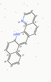 C1=CC2Nc3c(ccc4cccnc34)C=C2c2ccccc21